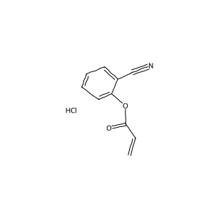 C=CC(=O)Oc1ccccc1C#N.Cl